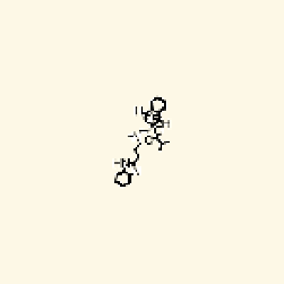 CC(C)C(=O)O[C@@]1(CCN(C)CCCc2nc3ccccc3[nH]2)C[C@H]2CC[C@@H]1c1ccccc12